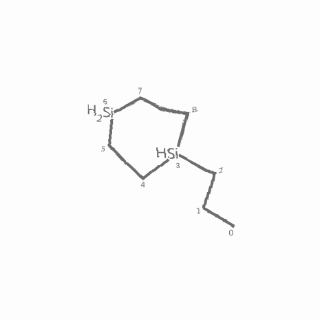 CCC[SiH]1CC[SiH2]CC1